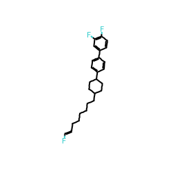 FC=CCCCCCCC1CCC(c2ccc(-c3ccc(F)c(F)c3)cc2)CC1